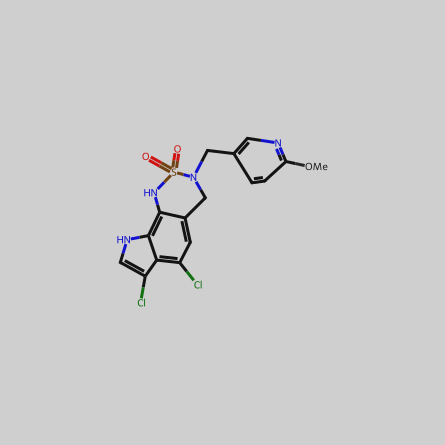 COc1ccc(CN2Cc3cc(Cl)c4c(Cl)c[nH]c4c3NS2(=O)=O)cn1